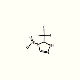 O=[N+]([O-])N1C=NNC1C(F)(F)F